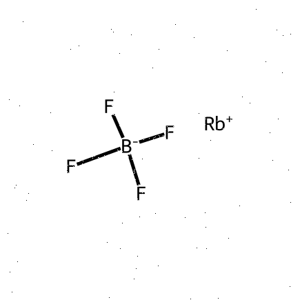 F[B-](F)(F)F.[Rb+]